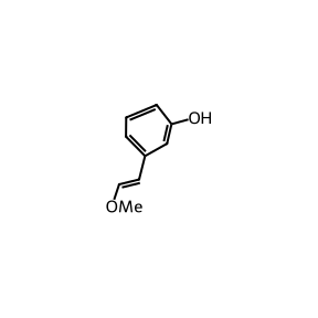 COC=Cc1cccc(O)c1